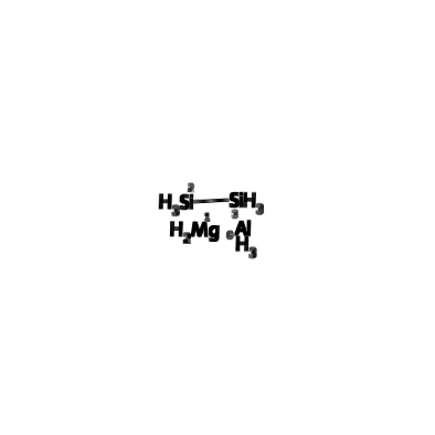 [AlH3].[MgH2].[SiH3][SiH3]